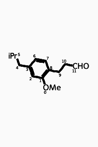 COc1cc(CC(C)C)ccc1CCC=O